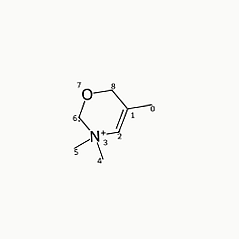 CC1=C[N+](C)(C)[CH]OC1